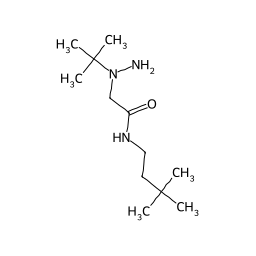 CC(C)(C)CCNC(=O)CN(N)C(C)(C)C